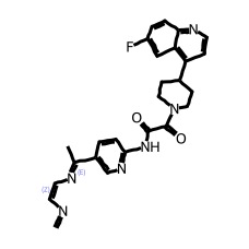 C=N/C=C\N=C(/C)c1ccc(NC(=O)C(=O)N2CCC(c3ccnc4ccc(F)cc34)CC2)nc1